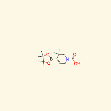 CC1(C)CN(C(=O)O)CC=C1B1OC(C)(C)C(C)(C)O1